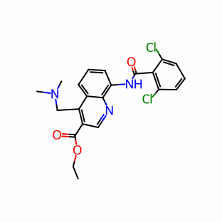 CCOC(=O)c1cnc2c(NC(=O)c3c(Cl)cccc3Cl)cccc2c1CN(C)C